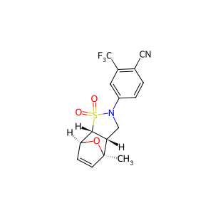 C[C@]12C=C[C@H](O1)[C@H]1[C@@H]2CN(c2ccc(C#N)c(C(F)(F)F)c2)S1(=O)=O